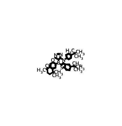 CC(C)(C)c1ccc(N2c3ncnc4c3B(c3cc5c(cc3O4)C(C)(C)CCC5(C)C)c3sc4ccc(C(C)(C)C)cc4c32)cc1